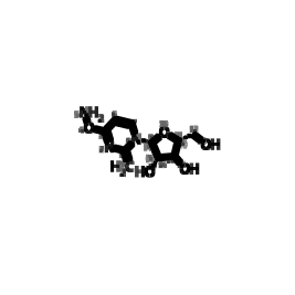 C=C1N=C(ON)C=CN1[C@@H]1O[C@H](CO)C(O)[C@@H]1O